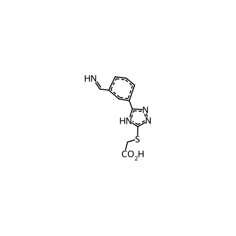 N=Cc1cccc(-c2nnc(SCC(=O)O)[nH]2)c1